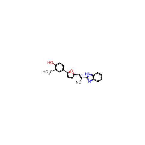 N#C/C(=C\c1ccc(-c2ccc(O)c(C(=O)O)c2)o1)c1nc2ccccc2[nH]1